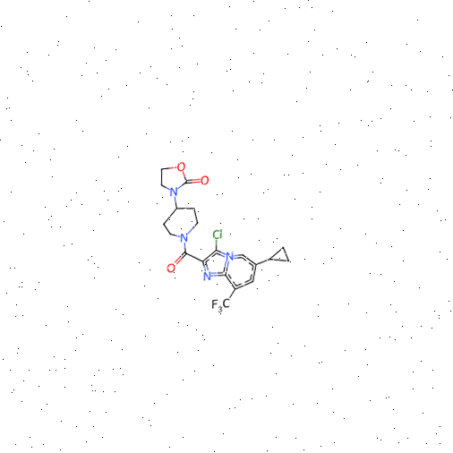 O=C(c1nc2c(C(F)(F)F)cc(C3CC3)cn2c1Cl)N1CCC(N2CCOC2=O)CC1